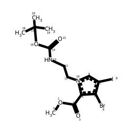 COC(=O)c1c(Br)c(I)cn1CCNC(=O)OC(C)(C)C